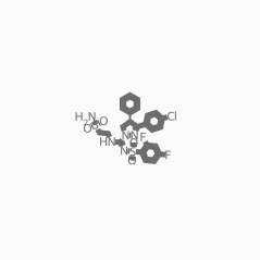 NS(=O)(=O)CCN/C(=N/S(=O)(=O)c1ccc(F)cc1F)N1C[C@@H](c2ccccc2)C(c2ccc(Cl)cc2)=N1